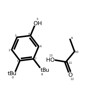 CC(C)(C)c1ccc(O)cc1C(C)(C)C.CCC(=O)O